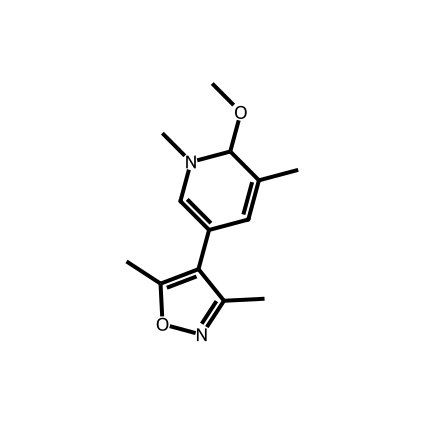 COC1C(C)=CC(c2c(C)noc2C)=CN1C